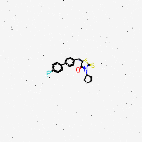 O=C1/C(=C\c2ccc(-c3ccc(F)cc3)cc2)SC(=S)N1C1CCCC1